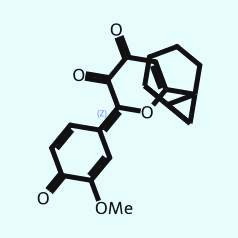 COC1=C/C(=C2\OC(C34CCCC5C3C54)=CC(=O)C2=O)C=CC1=O